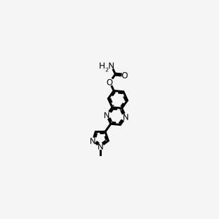 Cn1cc(-c2cnc3ccc(OC(N)=O)cc3n2)cn1